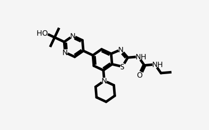 CCNC(=O)Nc1nc2cc(-c3cnc(C(C)(C)O)nc3)cc(N3CCCCC3)c2s1